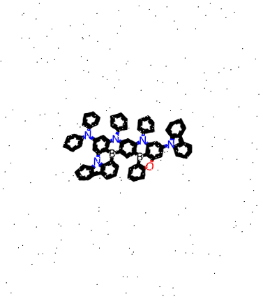 c1ccc(N(c2ccccc2)c2cc3c4c(c2)-n2c5ccccc5c5cccc(c52)B4c2cc4c(cc2N3c2ccccc2)N(c2ccccc2)c2cc(-n3c5ccccc5c5ccccc53)cc3c2B4c2ccccc2O3)cc1